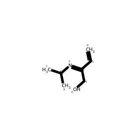 C=CC(CO)=NC(C)C